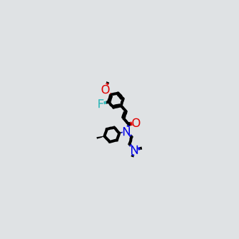 COc1ccc(C=CC(=O)N(CCN(C)C)[C@H]2CC[C@H](C)CC2)cc1F